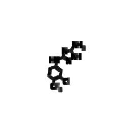 Nc1nc(Nc2ccc(C(F)(F)F)c(Cl)c2)n[nH]1